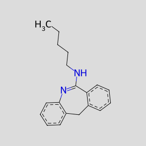 CCCCCNC1=Nc2ccccc2Cc2ccccc21